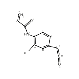 C=CC(=O)Nc1ccc(N=C=O)cc1F